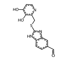 O=Cc1ccc2[nH]c(SCc3nccc(O)c3O)nc2c1